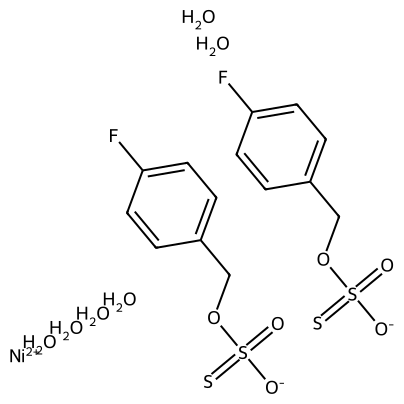 O.O.O.O.O.O.O=S([O-])(=S)OCc1ccc(F)cc1.O=S([O-])(=S)OCc1ccc(F)cc1.[Ni+2]